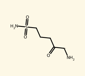 N[CH]C(=O)CCCS(N)(=O)=O